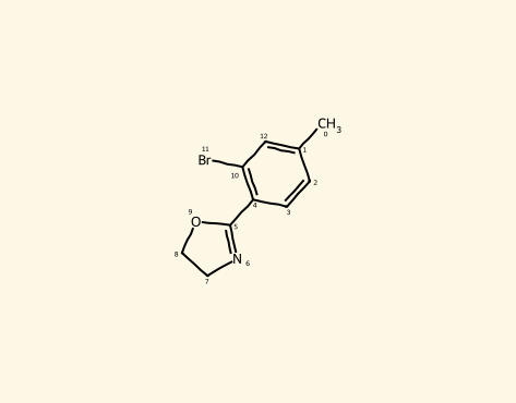 Cc1ccc(C2=NCCO2)c(Br)c1